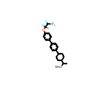 COC(C)C1CCC(c2ccc(-c3ccc(OC(F)(F)C(F)C(F)(F)F)cc3)cc2)CC1